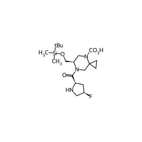 CC(C)(C)[Si](C)(C)OC[C@H]1CN(C(=O)O)C2(CC2)CN1C(=O)[C@H]1C[C@@H](F)CN1